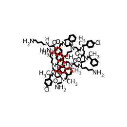 C[C@H](c1ccccc1)N(CC(N)=O)C(=O)CN(C(=O)CN(CCCCN)C(=O)CN(C(=O)CN(C(=O)CN(CCCCN)C(=O)CN(C(=O)CN(C(=O)CN(CCCCN)C(=O)CN(Cc1ccccc1)C(=O)CN(C(=O)CNCCCCN)[C@H](C)c1ccc(Cl)cc1)[C@H](C)c1ccc(Cl)cc1)[C@H](C)c1ccccc1)[C@H](C)c1ccc(Cl)cc1)[C@H](C)c1ccccc1)[C@H](C)c1ccc(Cl)cc1